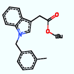 Cc1cccc(Cn2cc(CC(=O)OC(C)(C)C)c3ccccc32)c1